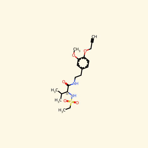 C#CCOc1ccc(CCNC(=O)[C@@H](NS(=O)(=O)CC)C(C)C)cc1OC